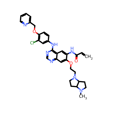 C=CC(=O)Nc1cc2c(Nc3ccc(OCc4ccccn4)c(Cl)c3)ncnc2cc1OCCN1CCC2C1CCN2C